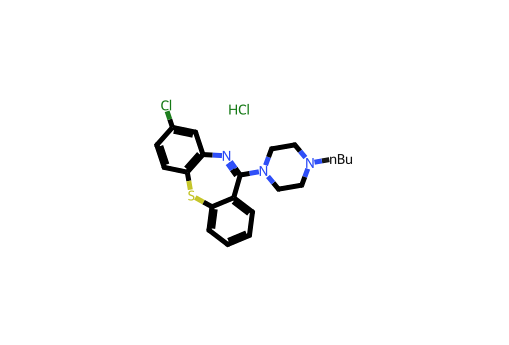 CCCCN1CCN(C2=Nc3cc(Cl)ccc3Sc3ccccc32)CC1.Cl